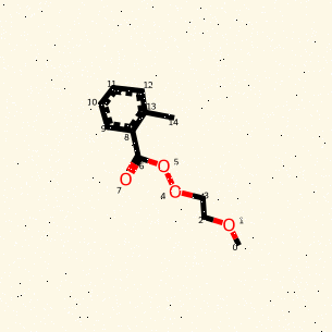 COC[CH]OOC(=O)c1ccccc1C